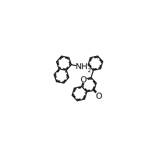 Nc1cccc2ccccc12.O=c1cc(-c2ccccc2)oc2ccccc12